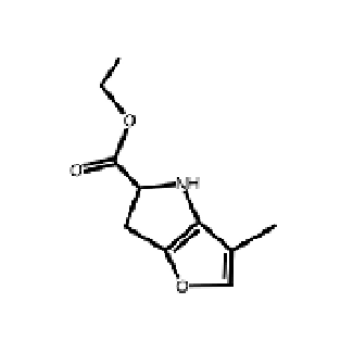 CCOC(=O)C1Cc2occ(C)c2N1